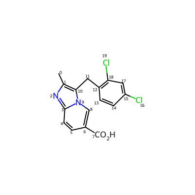 Cc1nc2ccc(C(=O)O)cn2c1Cc1ccc(Cl)cc1Cl